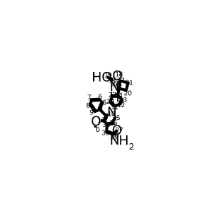 COC1=C(c2ccccc2)N(c2ccc(C3(NC(=O)O)CCC3)cc2)Cc2oc(N)cc21